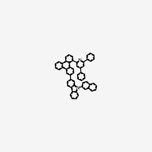 c1ccc(-c2cc(-c3ccccc3)nc(-c3cccc4c5ccccc5c5cc(-c6ccc7c8ccccc8n(-c8ccc9ccccc9c8)c7c6)ccc5c34)c2)cc1